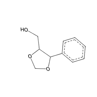 OCC1OCOC1c1ccccc1